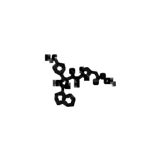 COC(=O)Cc1csc(NC(=O)c2nc(-c3cccc4ccccc34)[nH]c2-c2ccc(C)cc2)n1